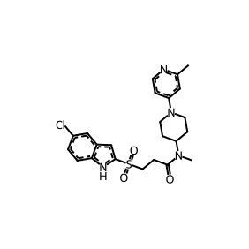 Cc1cc(N2CCC(N(C)C(=O)CCS(=O)(=O)c3cc4cc(Cl)ccc4[nH]3)CC2)ccn1